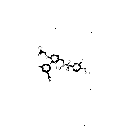 COc1ccc(S(=O)(=O)N(C)Cc2ccc(OCC(=O)O)c(-c3cc(F)cc(C#N)c3)c2)cc1F